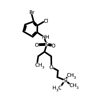 CCC(COCC[Si](C)(C)C)S(=O)(=O)Nc1cccc(Br)c1Cl